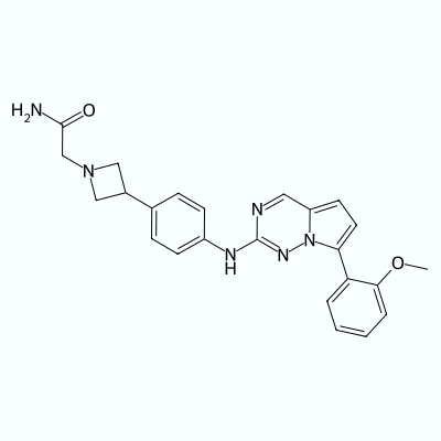 COc1ccccc1-c1ccc2cnc(Nc3ccc(C4CN(CC(N)=O)C4)cc3)nn12